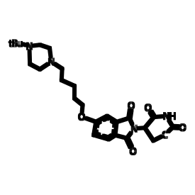 CC(C)(C)N1CCN(CCCCCOc2ccc3c(c2)C(=O)N(C2CCC(=O)NC2=O)C3=O)CC1